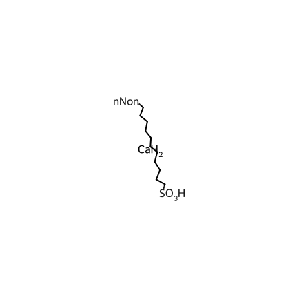 CCCCCCCCCCCCCCCCCCCCS(=O)(=O)O.[CaH2]